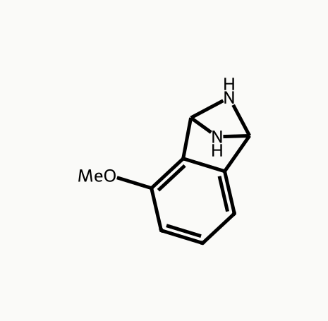 COc1cccc2c1C1NC2N1